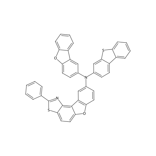 c1ccc(-c2nc3c(ccc4oc5ccc(N(c6ccc7c(c6)sc6ccccc67)c6ccc7oc8ccccc8c7c6)cc5c43)s2)cc1